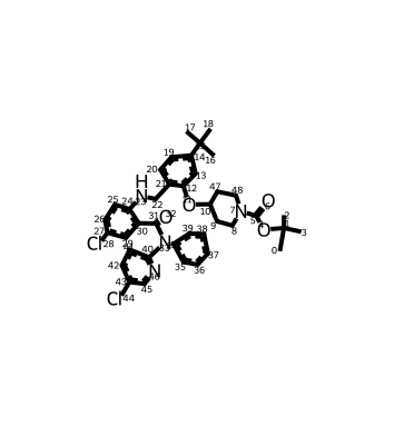 CC(C)(C)OC(=O)N1CCC(Oc2cc(C(C)(C)C)ccc2CNc2ccc(Cl)cc2C(=O)N(c2ccccc2)c2ccc(Cl)cn2)CC1